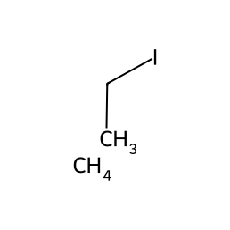 C.CCI